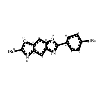 CC(C)(C)c1ccc(-c2nc3cc4nc(C(C)(C)C)oc4cc3o2)cc1